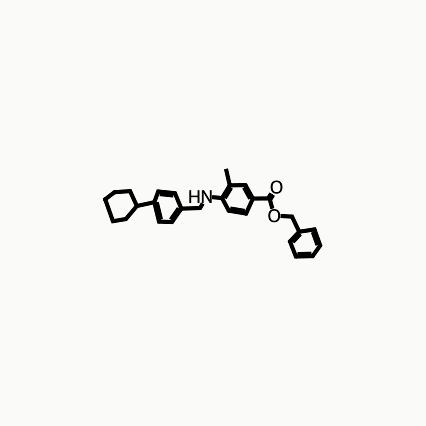 Cc1cc(C(=O)OCc2ccccc2)ccc1NCc1ccc(C2CCCCC2)cc1